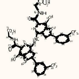 N#Cc1nc(C(=O)NCC(=O)O)c(O)c2sc(-c3cccc(C(F)(F)F)c3)cc12.O=C(O)CNC(=O)c1nc(Br)c2cc(-c3cccc(C(F)(F)F)c3)sc2c1O